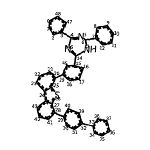 c1ccc(C2=NC(c3ccccc3)NC(c3cccc(-c4cccc5c4sc4c(-c6ccc(-c7ccccc7)cc6)cccc45)c3)=N2)cc1